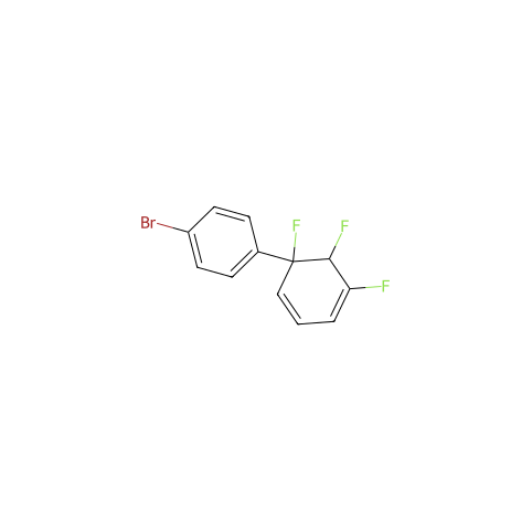 FC1=CC=CC(F)(c2ccc(Br)cc2)C1F